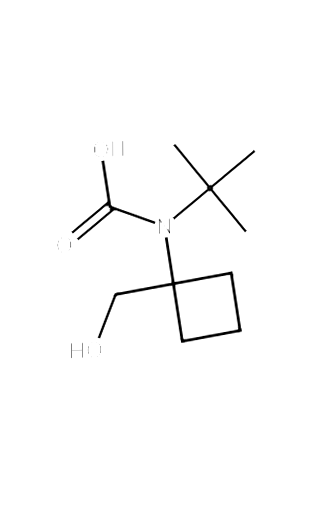 CC(C)(C)N(C(=O)O)C1(CO)CCC1